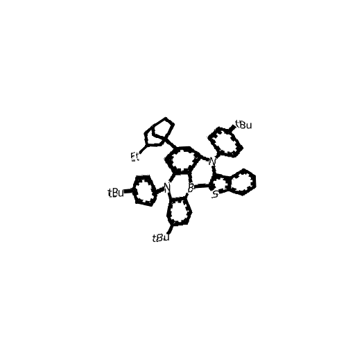 CCC1CC2CCC(c3cc4c5c(c3)N(c3ccc(C(C)(C)C)cc3)c3c(sc6ccccc36)B5c3ccc(C(C)(C)C)cc3N4c3ccc(C(C)(C)C)cc3)(C1)C2